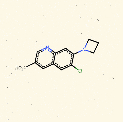 O=C(O)c1cnc2cc(N3CCC3)c(Cl)cc2c1